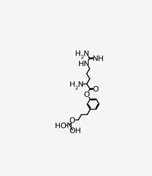 N=C(N)NCCCC(N)C(=O)Oc1cccc(CCCON(O)O)c1